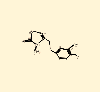 Cn1c(COc2ccc(Br)c(O)c2)n[nH]c1=O